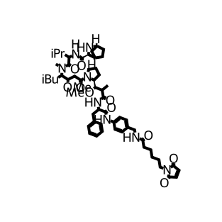 CCC(C)C(C(CC(=O)N1CCC[C@H]1C(OC)C(C)C(=O)NC(Cc1ccccc1)C(=O)Nc1ccc(CNC(=O)CCCCCN2C(=O)C=CC2=O)cc1)OC)N(C)C(=O)C(NC(=O)[C@H]1N[C@@H]2CC[C@H]1C2)C(C)C